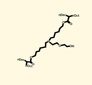 CCCCCCCCCCC(CCCCCCCC)C(=O)OCCCCCCN(CCCCCCOC(=O)C(CCCCCCCC)CCCCCCCCCC)CCOCCO